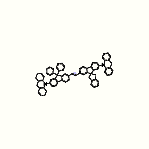 C1=CC2=C(CC1)CC1=C(CCC=C1)N2c1ccc2c(c1)C(c1ccccc1)(c1ccccc1)c1cc(/C=C/c3ccc4c(c3)C3(Cc5ccccc5C3)c3cc(N5c6ccccc6Cc6ccccc65)ccc3-4)ccc1-2